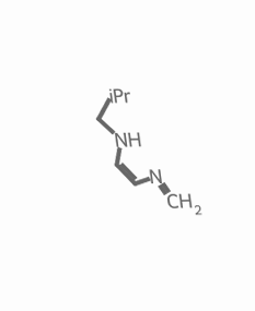 C=N/C=C\NCC(C)C